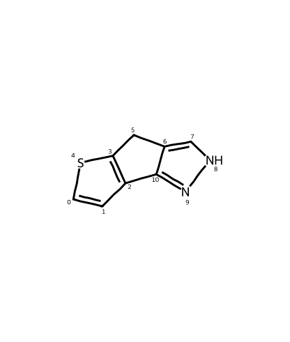 c1cc2c(s1)Cc1c[nH]nc1-2